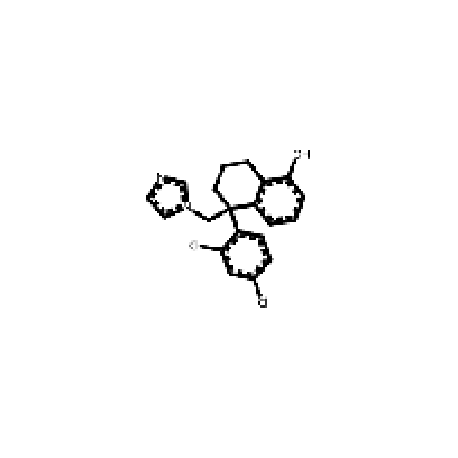 Oc1cccc2c1CCCC2(Cn1ccnc1)c1ccc(Cl)cc1Cl